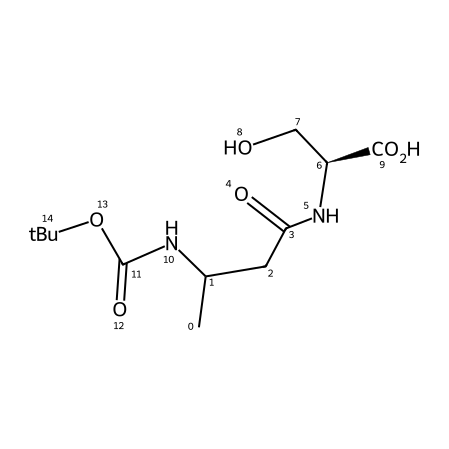 CC(CC(=O)N[C@@H](CO)C(=O)O)NC(=O)OC(C)(C)C